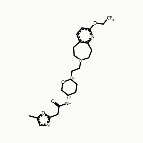 Cc1cnc(CC(=O)N[C@H]2CC[C@H](CCN3CCc4ccc(OCC(F)(F)F)nc4CC3)OC2)o1